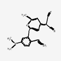 C=Cc1ccc(N(C)C)cc1C1=CC(=C(C#N)C#N)C=C(C)O1